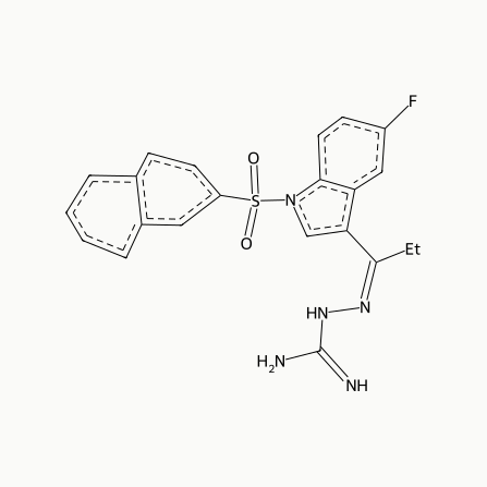 CC/C(=N/NC(=N)N)c1cn(S(=O)(=O)c2ccc3ccccc3c2)c2ccc(F)cc12